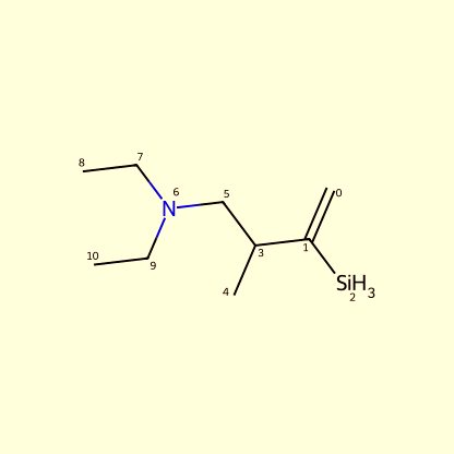 C=C([SiH3])C(C)CN(CC)CC